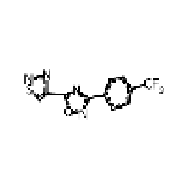 FC(F)(F)c1ccc(-c2noc(-c3csnn3)n2)cc1